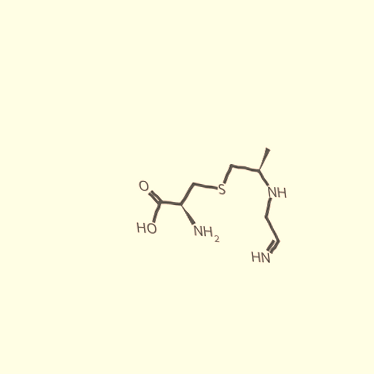 C[C@H](CSC[C@@H](N)C(=O)O)NCC=N